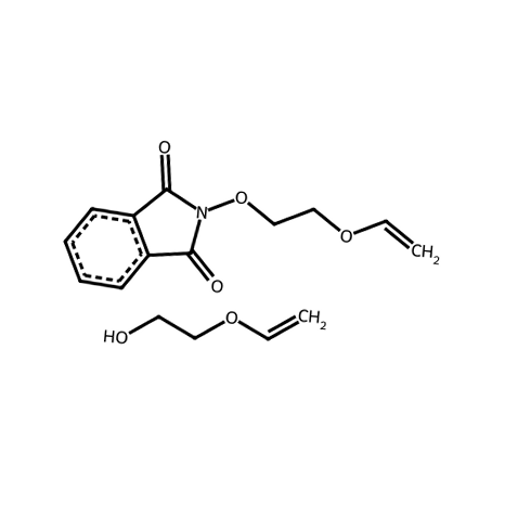 C=COCCO.C=COCCON1C(=O)c2ccccc2C1=O